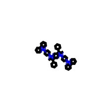 Cc1c(C2CCCCC2)c2cc3c(cc2n1-c1ccc(-n2c4ccccc4c4ccccc42)cc1)c(C1CCCCC1)c(C)n3-c1ccc(-n2c3ccccc3c3ccccc32)cc1